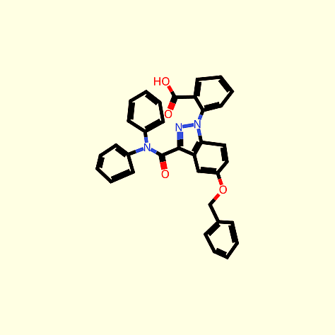 O=C(O)c1ccccc1-n1nc(C(=O)N(c2ccccc2)c2ccccc2)c2cc(OCc3ccccc3)ccc21